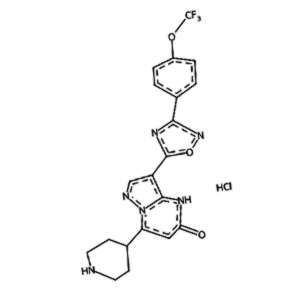 Cl.O=c1cc(C2CCNCC2)n2ncc(-c3nc(-c4ccc(OC(F)(F)F)cc4)no3)c2[nH]1